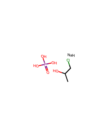 CC(O)CCl.O=P(O)(O)O.[NaH]